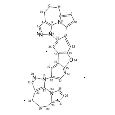 c1cc2n(c1)-c1c(cnn1-c1ccc3oc4ccc(-n5ncc6c5-n5cccc5CCC6)cc4c3c1)CCC2